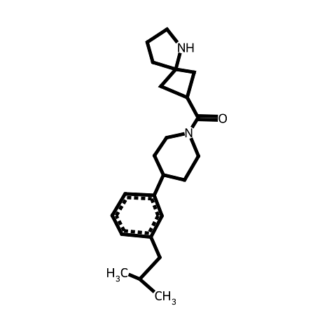 CC(C)Cc1cccc(C2CCN(C(=O)C3CC4(CCCN4)C3)CC2)c1